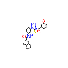 COc1cccc(C(=O)NC(=S)Nc2cccc(NC(=O)c3ccc4ccccc4c3)c2)c1